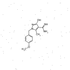 COc1ccc(Cn2nc(O)c(C(=N)N)c2C)cc1